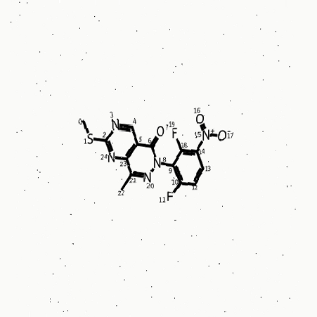 CSc1ncc2c(=O)n(-c3c(F)ccc([N+](=O)[O-])c3F)nc(C)c2n1